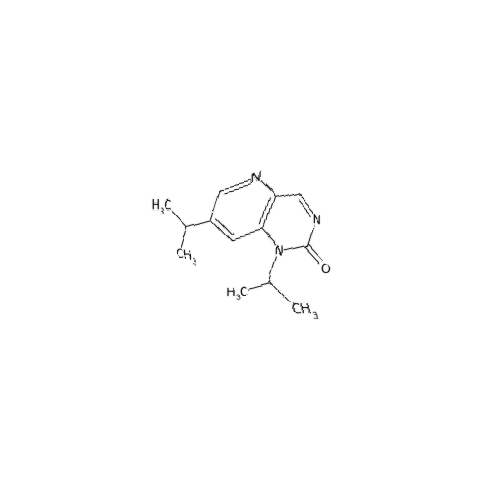 CC(C)c1cnc2cnc(=O)n(C(C)C)c2c1